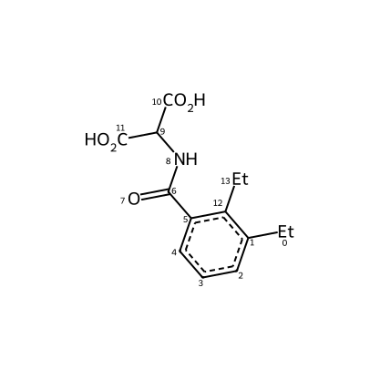 CCc1cccc(C(=O)NC(C(=O)O)C(=O)O)c1CC